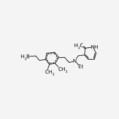 BCCc1ccc(CCN(CC)CC2=CC=CNC2=C)c(C)c1C